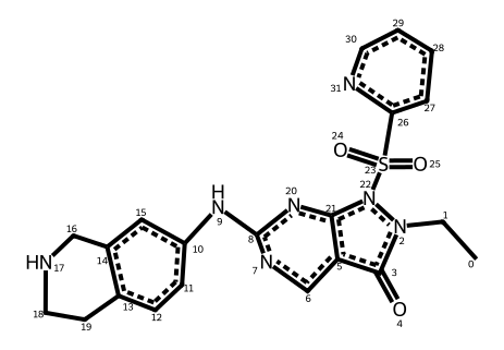 CCn1c(=O)c2cnc(Nc3ccc4c(c3)CNCC4)nc2n1S(=O)(=O)c1ccccn1